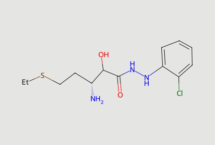 CCSCC[C@@H](N)C(O)C(=O)NNc1ccccc1Cl